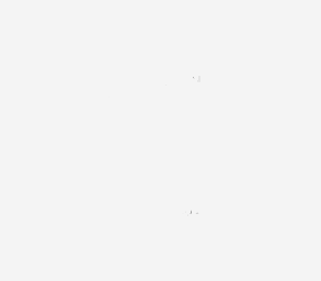 COCCOc1c(C)c[c]cc1N